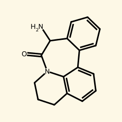 NC1C(=O)N2CCCc3cccc(c32)-c2ccccc21